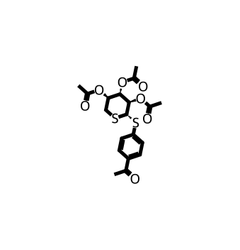 CC(=O)O[C@@H]1[C@@H](OC(C)=O)[C@H](Sc2ccc(C(C)=O)cc2)SC[C@H]1OC(C)=O